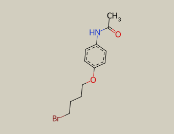 CC(=O)Nc1ccc(OCCCCBr)cc1